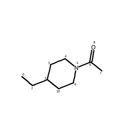 C[CH]C1CCN(C(C)=O)CC1